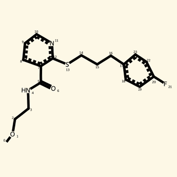 COCCNC(=O)c1cccnc1SCCCc1ccc(F)cc1